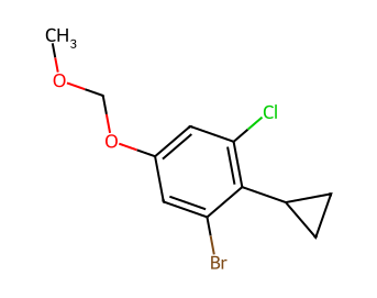 COCOc1cc(Cl)c(C2CC2)c(Br)c1